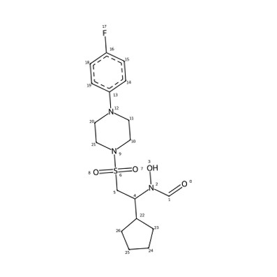 O=CN(O)C(CS(=O)(=O)N1CCN(c2ccc(F)cc2)CC1)C1CCCC1